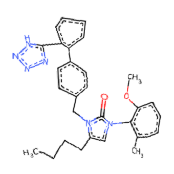 CCCCc1cn(-c2c(C)cccc2OC)c(=O)n1Cc1ccc(-c2ccccc2-c2nnn[nH]2)cc1